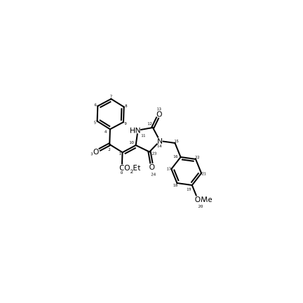 CCOC(=O)C(C(=O)c1ccccc1)=C1NC(=O)N(Cc2ccc(OC)cc2)C1=O